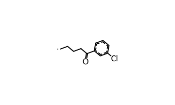 [CH2]CCCC(=O)c1cccc(Cl)c1